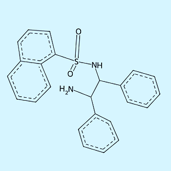 NC(c1ccccc1)C(NS(=O)(=O)c1cccc2ccccc12)c1ccccc1